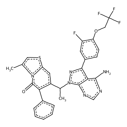 Cc1csc2cc(C(C)n3nc(-c4ccc(OCC(F)(F)F)c(F)c4)c4c(N)ncnc43)c(-c3ccccc3)c(=O)n12